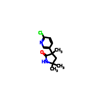 CC1(C)CC(C)(c2ccc(Cl)nc2)C(=O)N1